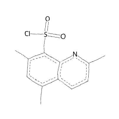 Cc1ccc2c(C)cc(C)c(S(=O)(=O)Cl)c2n1